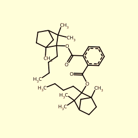 CCCCC1(OC(=O)c2ccccc2C(=O)OC2(CCCC)C3(C)CCC(C3)C2(C)C)C2(C)CCC(C2)C1(C)C